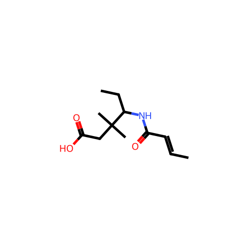 CC=CC(=O)NC(CC)C(C)(C)CC(=O)O